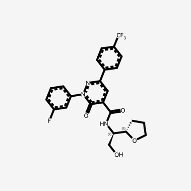 O=C(N[C@H](CO)[C@@H]1CCCO1)c1cc(-c2ccc(C(F)(F)F)cc2)nn(-c2cccc(F)c2)c1=O